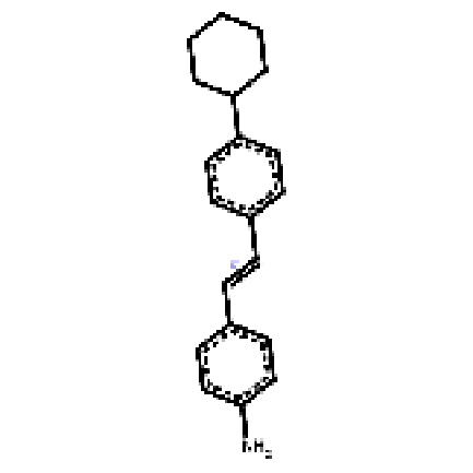 Nc1ccc(/C=C/c2ccc(C3CCCCC3)cc2)cc1